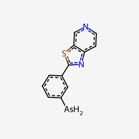 [AsH2]c1cccc(-c2nc3ccncc3s2)c1